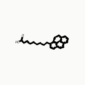 O=C(O)CCCCCCCCc1ccc2ccc3cccc4ccc1c2c34